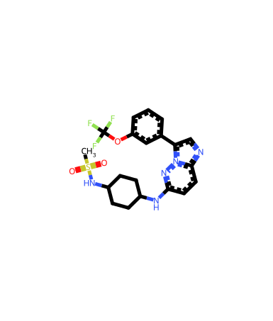 CS(=O)(=O)NC1CCC(Nc2ccc3ncc(-c4cccc(OC(F)(F)F)c4)n3n2)CC1